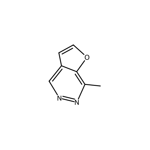 Cc1nncc2ccoc12